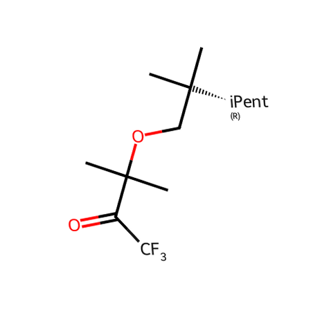 CCC[C@@H](C)C(C)(C)COC(C)(C)C(=O)C(F)(F)F